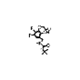 CC(C)(C)OC(=O)NCc1cc(F)c(F)c2c1NC(=O)CO2